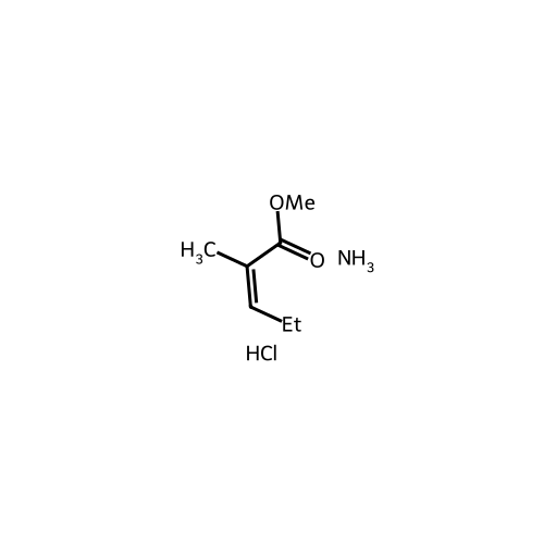 CCC=C(C)C(=O)OC.Cl.N